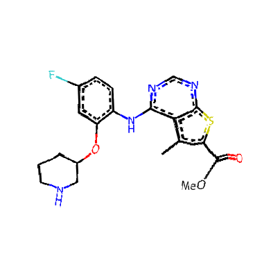 COC(=O)c1sc2ncnc(Nc3ccc(F)cc3OC3CCCNC3)c2c1C